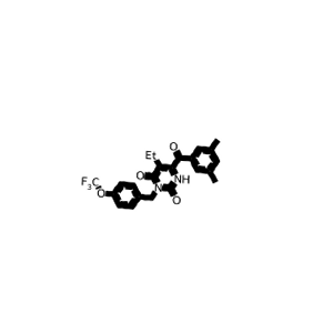 CCc1c(C(=O)c2cc(C)cc(C)c2)[nH]c(=O)n(Cc2ccc(OC(F)(F)F)cc2)c1=O